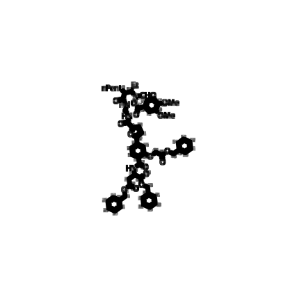 CCCCCC(C(=O)NCNC(=O)c1ccc(-c2ccc(C(=O)NC(CC(=O)OCc3ccccc3)C(=O)OCc3ccccc3)c(OCC(=O)OCc3ccccc3)c2)o1)[C@@H](CC)N(C=O)OC(=O)c1ccc(OC)c(OC)c1